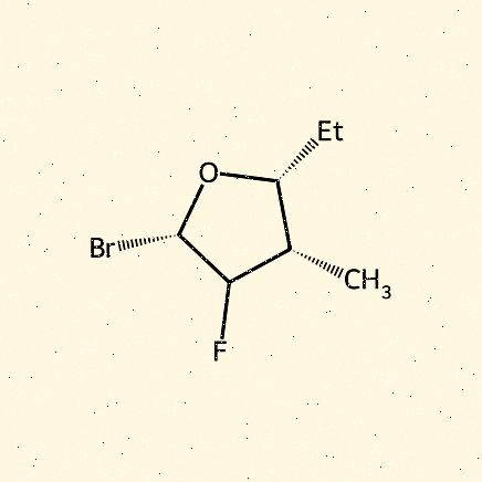 CC[C@H]1O[C@@H](Br)C(F)[C@H]1C